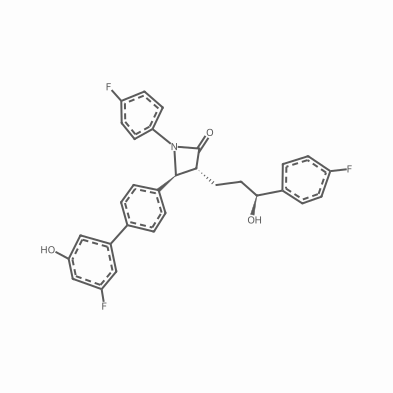 O=C1[C@H](CC[C@H](O)c2ccc(F)cc2)[C@@H](c2ccc(-c3cc(O)cc(F)c3)cc2)N1c1ccc(F)cc1